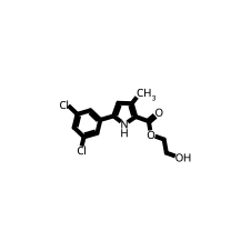 Cc1cc(-c2cc(Cl)cc(Cl)c2)[nH]c1C(=O)OCCO